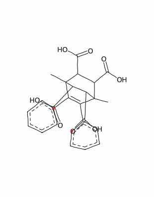 CC12C(c3ccccc3)=C(c3ccccc3)C(C)(C(C(=O)O)C1C(=O)O)C(C(=O)O)C2C(=O)O